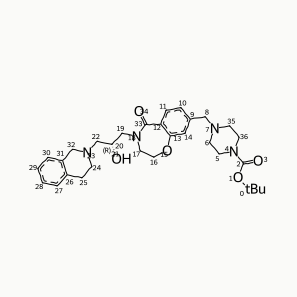 CC(C)(C)OC(=O)N1CCN(Cc2ccc3c(c2)OCCN(C[C@H](O)CN2CCc4ccccc4C2)C3=O)CC1